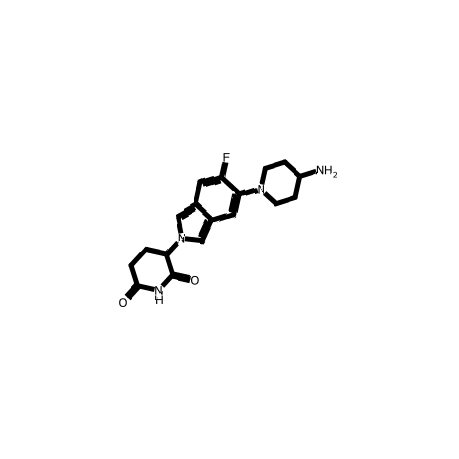 NC1CCN(c2cc3cn(C4CCC(=O)NC4=O)cc3cc2F)CC1